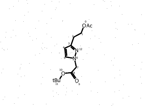 CC(=O)OCCc1ccn(CC(=O)OC(C)(C)C)n1